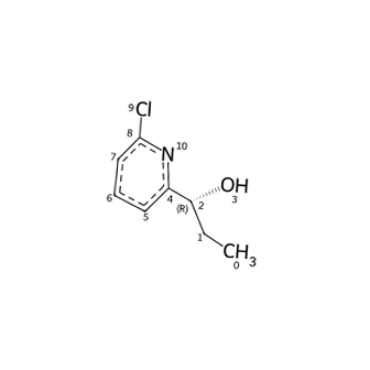 CC[C@@H](O)c1cccc(Cl)n1